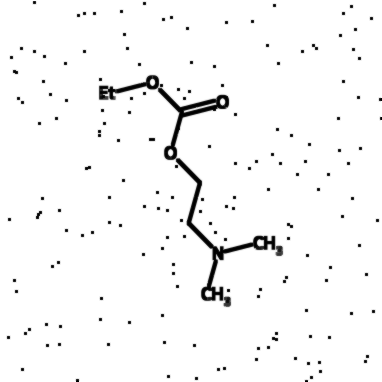 CCOC(=O)OCCN(C)C